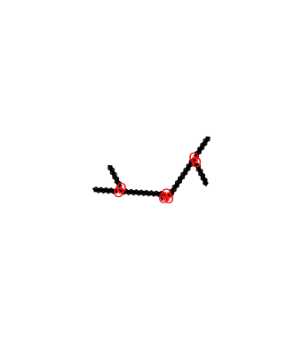 CCCCCCCCCCOC(CCCCCCCCCCCCCCC=CC(OC)OC(C=CCCCCCCCCCCCCCCC(OCCCCCCCCCC)OCCCCCCCCCC)OC)OCCCCCCCCCC